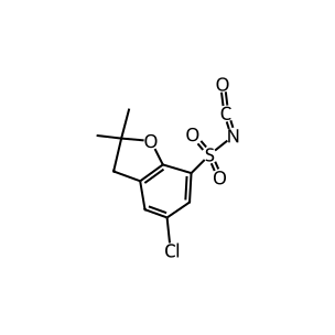 CC1(C)Cc2cc(Cl)cc(S(=O)(=O)N=C=O)c2O1